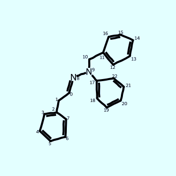 C(Cc1ccccc1)=NN(Cc1ccccc1)c1ccccc1